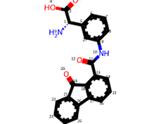 N[C@H](C(=O)O)c1cccc(NC(=O)c2cccc3c2C(=O)c2ccccc2-3)c1